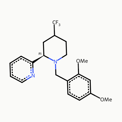 COc1ccc(CN2CCC(C(F)(F)F)C[C@@H]2c2ccccn2)c(OC)c1